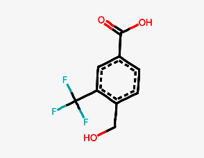 O=C(O)c1ccc(CO)c(C(F)(F)F)c1